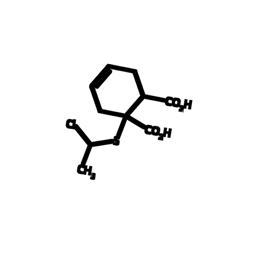 CC(Cl)SC1(C(=O)O)CC=CCC1C(=O)O